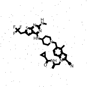 C=C(Cn1c(C#N)cc2c(C)c(CN3CCC(Nc4nc(NC)nc5sc(CC(F)(F)F)cc45)CC3)ccc21)NC(=O)C1CC1